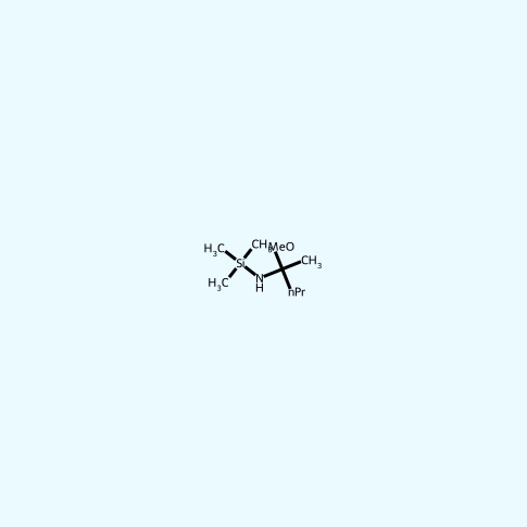 CCCC(C)(N[Si](C)(C)C)OC